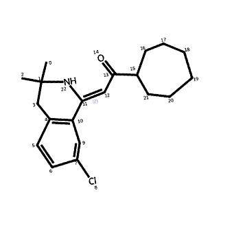 CC1(C)Cc2ccc(Cl)cc2/C(=C/C(=O)C2CCCCCC2)N1